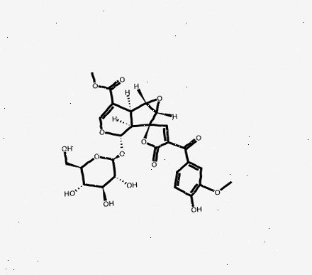 COC(=O)C1=CO[C@@H](O[C@@H]2O[C@H](CO)[C@@H](O)[C@H](O)[C@H]2O)[C@H]2[C@@H]1[C@@H]1O[C@@H]1[C@]21C=C(C(=O)c2ccc(O)c(OC)c2)C(=O)O1